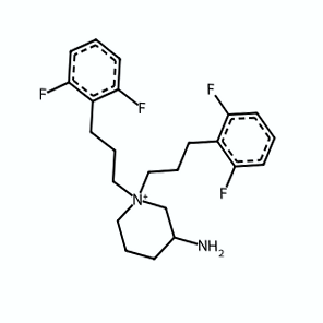 NC1CCC[N+](CCCc2c(F)cccc2F)(CCCc2c(F)cccc2F)C1